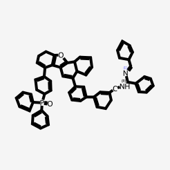 O=P(c1ccccc1)(c1ccccc1)C1C=CC(C2=CCCc3oc4c(c32)C=C(c2cccc(C3=CCCC(CN[C@H](/N=C/C5C=CC=CC5)c5ccccc5)=C3)c2)C2C=CC=CC42)=CC1